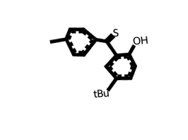 Cc1ccc(C(=S)c2cc(C(C)(C)C)ccc2O)cc1